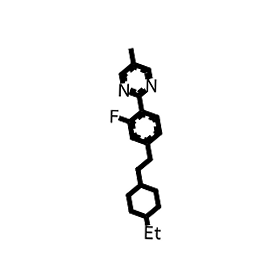 CCC1CCC(CCc2ccc(-c3ncc(C)cn3)c(F)c2)CC1